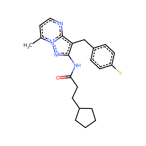 Cc1ccnc2c(Cc3ccc(F)cc3)c(NC(=O)CCC3CCCC3)nn12